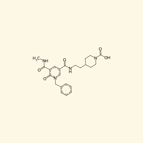 CNC(=O)c1cc(C(=O)NCCC2CCN(C(=O)O)CC2)cn(Cc2ccccc2)c1=O